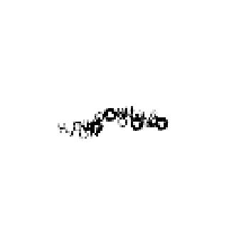 CNC(=O)c1cc(Oc2ccc(NC(=O)Nc3cccc(OCc4ccccc4C)c3)cc2)ccn1